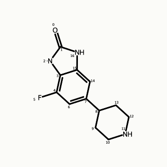 O=C1[N]c2c(F)cc(C3CCNCC3)cc2N1